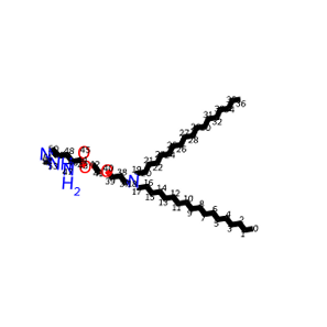 CCCCCCCCCCCCCCCCCCN(CCCCCCCCCCCCCCCCCC)CCCOCCOC(=O)C(N)Cc1cnc[nH]1